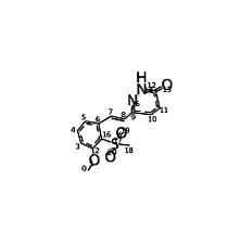 COc1cccc(C=Cc2ccc(=O)[nH]n2)c1S(C)(=O)=O